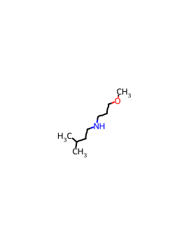 COCCCNCCC(C)C